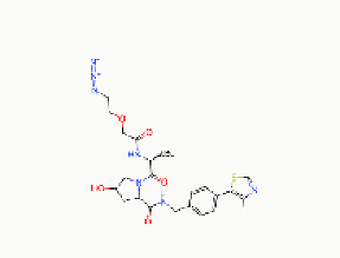 Cc1ncsc1-c1ccc(CNC(=O)C2CC(O)CN2C(=O)[C@@H](NC(=O)COCCN=[N+]=[N-])C(C)(C)C)cc1